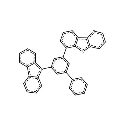 c1ccc(-c2cc(-c3cccc4c3sc3cccnc34)cc(-n3c4ccccc4c4ccccc43)c2)cc1